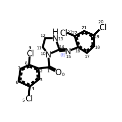 O=C(c1cc(Cl)ccc1Cl)N1CCN/C1=N\c1ccc(Cl)cc1Cl